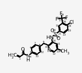 C=CC(=O)Nc1ccc(Cc2ncc(C)cc2NS(=O)(=O)c2ccc(Cl)c(C(F)(F)F)c2)cc1